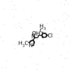 Cc1cc(C(C[CH]c2ccc(Cl)cc2C)=NO)ccn1